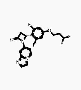 O=C1C[C@H](c2c(F)cc(OCCC(F)F)cc2F)N1c1ccn2ccnc2c1